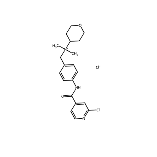 C[N+](C)(Cc1ccc(NC(=O)c2ccnc(Cl)c2)cc1)C1CCOCC1.[Cl-]